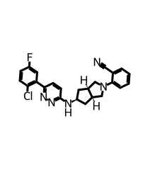 N#Cc1ccccc1N1C[C@H]2C[C@@H](Nc3ccc(-c4cc(F)ccc4Cl)nn3)C[C@H]2C1